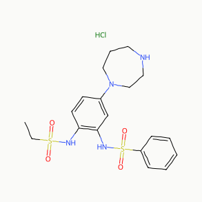 CCS(=O)(=O)Nc1ccc(N2CCCNCC2)cc1NS(=O)(=O)c1ccccc1.Cl